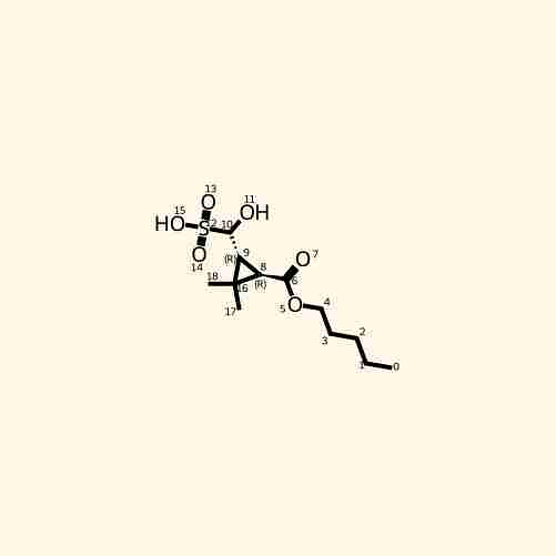 CCCCCOC(=O)[C@@H]1[C@@H](C(O)S(=O)(=O)O)C1(C)C